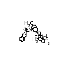 CCC(C)(C)NC(=O)OC1(C)CC2CC(C)CC(NCC(=O)N3Cc4ccccc4C3)(C2)C1